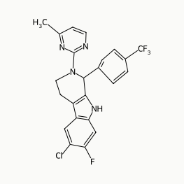 Cc1ccnc(N2CCc3c([nH]c4cc(F)c(Cl)cc34)C2c2ccc(C(F)(F)F)cc2)n1